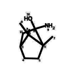 CC1(C)C2CCC1(C)C(N)(O)C2